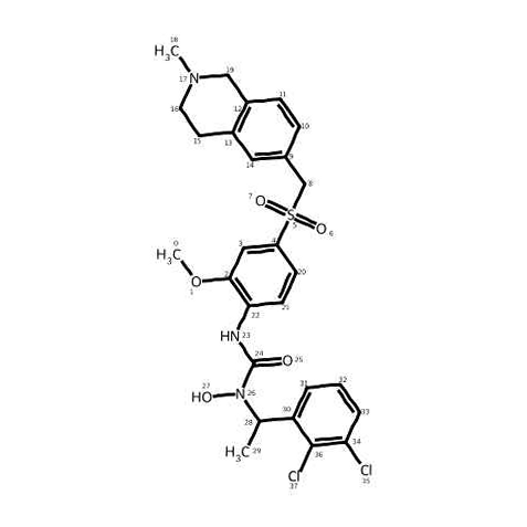 COc1cc(S(=O)(=O)Cc2ccc3c(c2)CCN(C)C3)ccc1NC(=O)N(O)C(C)c1cccc(Cl)c1Cl